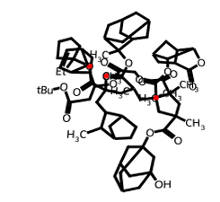 CCC1(OC(=O)C(C)(CC2C3CCC(C3)C2C)CC(C)(CC(C)(CC(C)(CC(C)(C)C(=O)OCC(=O)OC(CC(=O)OC(C)(C)C)C2CC3C=CC2C3)C(=O)OC23CC4CC(CC(O)(C4)C2)C3)C(=O)OC2C3CC4C(=O)OC2C4C3)C(=O)OC2(C)C3CC4CC(C3)CC2C4)CCCC1